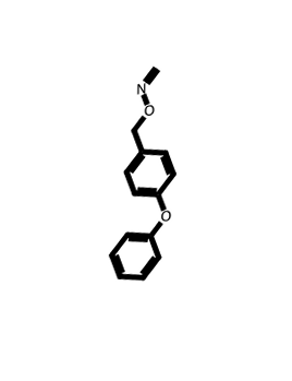 C=NOCc1ccc(Oc2ccccc2)cc1